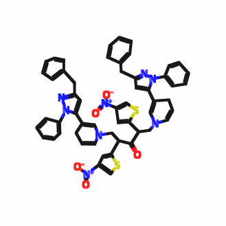 O=C(C(CN1C=CCC(c2cc(Cc3ccccc3)nn2-c2ccccc2)=C1)c1cc([N+](=O)[O-])cs1)C(CN1C=CCC(c2cc(Cc3ccccc3)nn2-c2ccccc2)=C1)c1cc([N+](=O)[O-])cs1